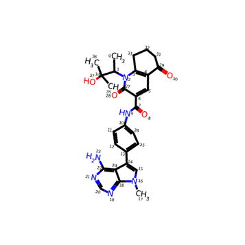 CC(n1c2c(cc(C(=O)Nc3ccc(-c4cn(C)c5ncnc(N)c45)cc3)c1=O)C(=O)CCC2)C(C)(C)O